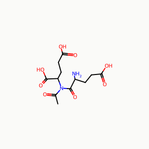 CC(=O)N(C(=O)C(N)CCC(=O)O)C(CCC(=O)O)C(=O)O